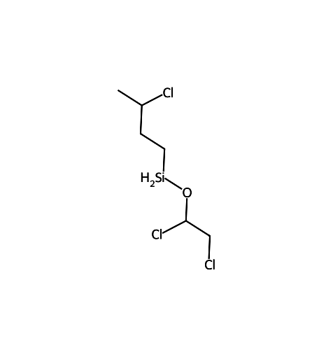 CC(Cl)CC[SiH2]OC(Cl)CCl